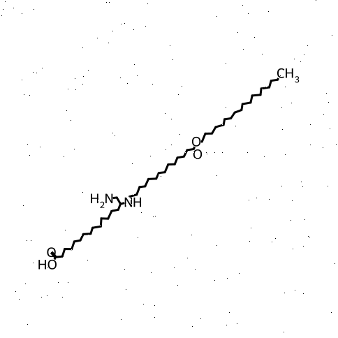 CCCCCCCCCCCCCCCCCCOC(=O)CCCCCCCCCCCCCNC(CN)CCCCCCCCCCCCCC(=O)O